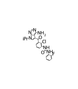 CC(C)n1cc(C(=O)c2cccc(NC(=O)Nc3ccccc3F)c2Cl)c2c(N)ncnc21